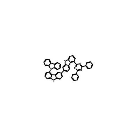 c1ccc(-c2nc(-c3ccccc3)nc(-c3cccc4sc5cc(-c6ccc7sc8cccc(-n9c%10ccccc%10c%10ccccc%109)c8c7c6)ccc5c34)n2)cc1